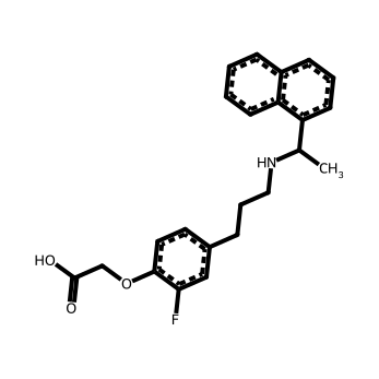 CC(NCCCc1ccc(OCC(=O)O)c(F)c1)c1cccc2ccccc12